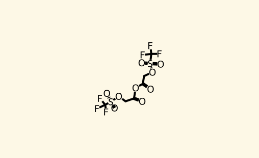 O=C(COS(=O)(=O)C(F)(F)F)OC(=O)COS(=O)(=O)C(F)(F)F